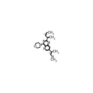 C=N/C=C(\C)c1cnc2c(N3CCOCC3)nc(C(=C)/C=C\C)nc2c1